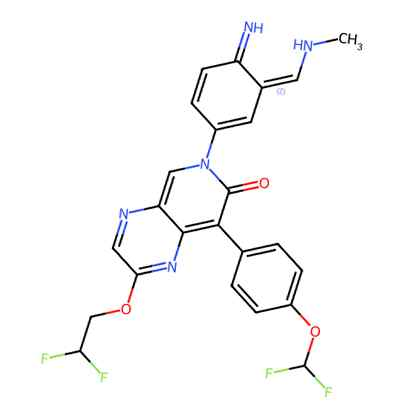 CN/C=C1/C=C(n2cc3ncc(OCC(F)F)nc3c(-c3ccc(OC(F)F)cc3)c2=O)C=CC1=N